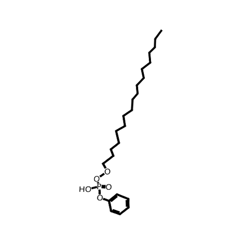 CCCCCCCCCCCCCCCCCCOOP(=O)(O)Oc1ccccc1